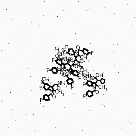 CCNC(=O)C(c1c(C)n(C(=O)c2ccc(F)cc2)c2cc(F)c(OC)cc12)N(C)C(=O)C(c1c(C)n(C(=O)c2ccc(F)cc2)c2cc(F)c(OC)cc12)C(C(=O)O)c1c(C)n(C(=O)c2ccc(F)cc2)c2cc(F)c(OC)cc12.COc1cc2c(C(C(=O)O)C3CCCC3)c(C)n(C(=O)c3ccc(F)cc3)c2cc1F.COc1cc2c(CC(N)=O)c(C)n(C(=O)c3ccc(F)cc3)c2cc1F